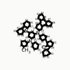 Cc1cccc(N(c2ccccc2)c2cc(N(c3ccc(-c4cccc5c4oc4ccccc45)cc3)c3ccc4c5ccccc5c5ccccc5c4c3)cc(-n3c4ccccc4c4ccccc43)c2)c1